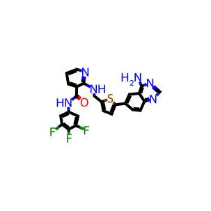 Nc1ncnc2ccc(-c3ccc(CNc4ncccc4C(=O)Nc4cc(F)c(F)c(F)c4)s3)cc12